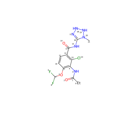 CCC(=O)Nc1c(OC(F)F)ccc(C(=O)NC2=NNNN2C)c1Cl